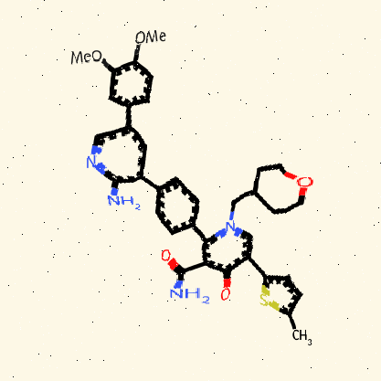 COc1ccc(-c2cnc(N)c(-c3ccc(-c4c(C(N)=O)c(=O)c(-c5ccc(C)s5)cn4CC4CCOCC4)cc3)c2)cc1OC